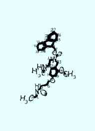 CCNC(=O)CCCOc1ccc(CN(CCNC)C(=O)OCC2c3ccccc3-c3ccccc32)c(OC)c1